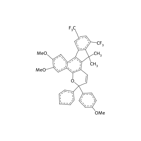 COc1ccc(C2(c3ccccc3)C=Cc3c4c(c5cc(OC)c(OC)cc5c3O2)-c2cc(C(F)(F)F)cc(C(F)(F)F)c2C4(C)C)cc1